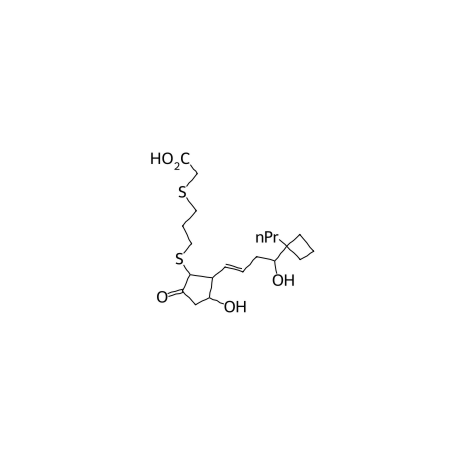 CCCC1(C(O)CC=CC2C(O)CC(=O)C2SCCCSCC(=O)O)CCC1